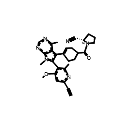 C#Cc1cc(OC)c(-c2c(C3=CCC(C(=O)N4CCC[C@H]4C#N)CC3)c3c(C)ncnc3n2C)c(C)n1